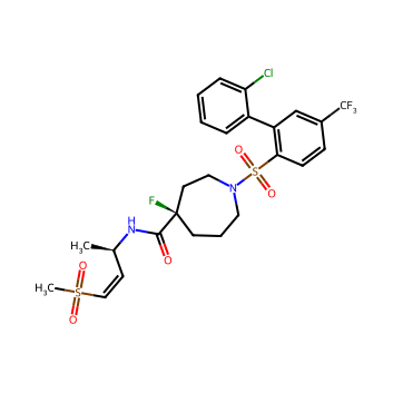 C[C@H](/C=C\S(C)(=O)=O)NC(=O)[C@@]1(F)CCCN(S(=O)(=O)c2ccc(C(F)(F)F)cc2-c2ccccc2Cl)CC1